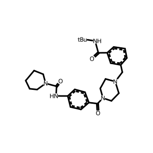 CC(C)(C)NC(=O)c1cccc(CN2CCN(C(=O)c3ccc(NC(=O)N4CCCCC4)cc3)CC2)c1